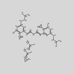 CC(=O)[O-].CC(=O)[O-].Cc1cc(CCC(C)C)cc(C=NCN=Cc2cc(CCC(C)C)cc(C)c2O)c1O.[Co+2]